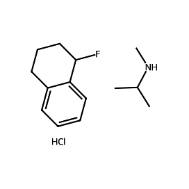 CNC(C)C.Cl.FC1CCCc2ccccc21